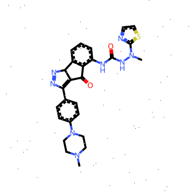 CN1CCN(c2ccc(C3=C4C(=O)c5c(NC(=O)NN(C)c6nccs6)cccc5C4N=N3)cc2)CC1